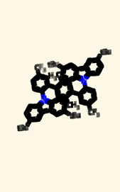 Cc1cc(-c2cc(C(F)(F)F)ccc2-n2c3ccc(C(C)(C)C)cc3c3cc(C(C)(C)C)ccc32)c(C)cc1-c1cc(C(F)(F)F)ccc1-n1c2ccc(C(C)(C)C)cc2c2cc(C(C)(C)C)ccc21